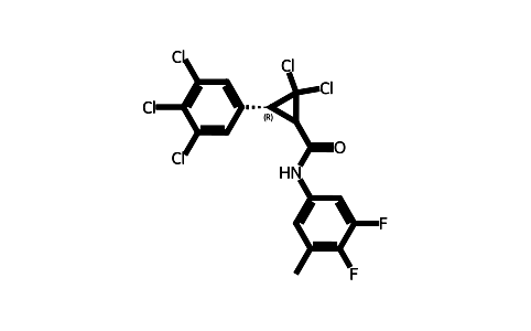 Cc1cc(NC(=O)C2[C@H](c3cc(Cl)c(Cl)c(Cl)c3)C2(Cl)Cl)cc(F)c1F